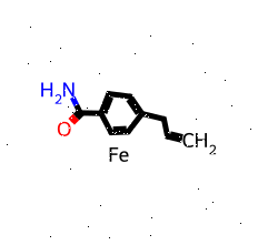 C=CCc1ccc(C(N)=O)cc1.[Fe]